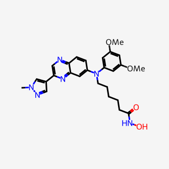 COc1cc(OC)cc(N(CCCCCC(=O)NO)c2ccc3ncc(-c4cnn(C)c4)nc3c2)c1